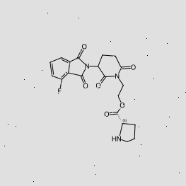 O=C(OCCN1C(=O)CCC(N2C(=O)c3cccc(F)c3C2=O)C1=O)[C@@H]1CCCN1